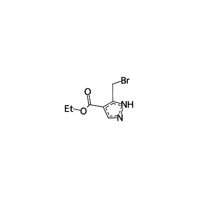 CCOC(=O)c1cn[nH]c1CBr